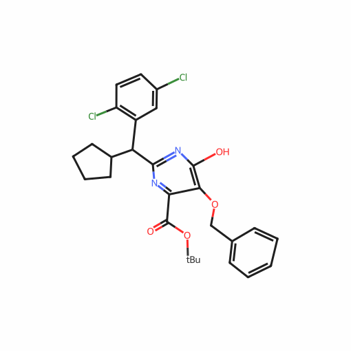 CC(C)(C)OC(=O)c1nc(C(c2cc(Cl)ccc2Cl)C2CCCC2)nc(O)c1OCc1ccccc1